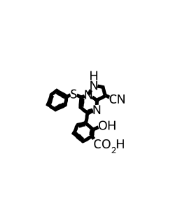 N#CC1CNN2C(Sc3ccccc3)=CC(c3cccc(C(=O)O)c3O)=NC12